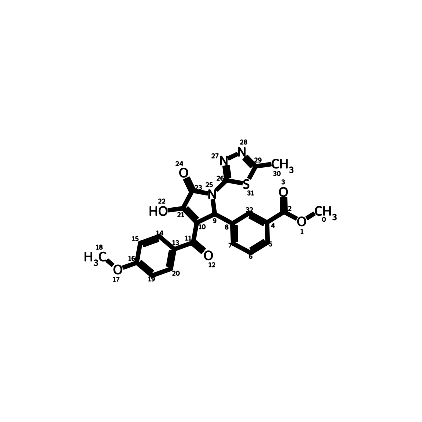 COC(=O)c1cccc(C2C(C(=O)c3ccc(OC)cc3)=C(O)C(=O)N2c2nnc(C)s2)c1